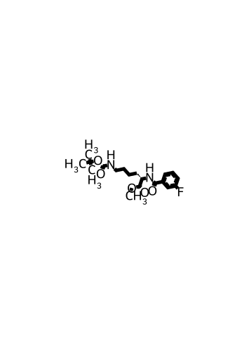 COC(=O)[C@H](CCCCNC(=O)OC(C)(C)C)NC(=O)c1cccc(F)c1